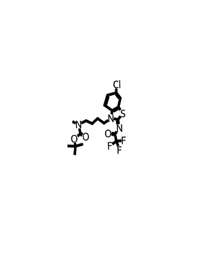 CN(CCCCn1c(=NC(=O)C(F)(F)F)sc2cc(Cl)ccc21)C(=O)OC(C)(C)C